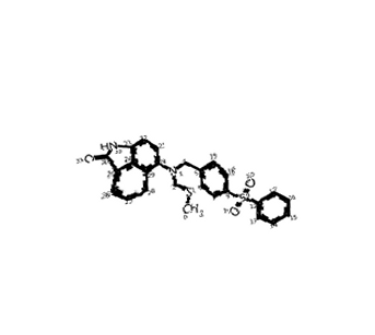 CSCN(Cc1ccc(S(=O)(=O)c2ccccc2)cc1)c1ccc2c3c(cccc13)C(=O)N2